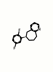 Fc1ccc(F)c([C@@H]2CCCc3ncccc3C2)c1